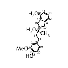 COc1cc(CCC(C)(C)N2Cc3cccc(C)c3C2)ccc1O